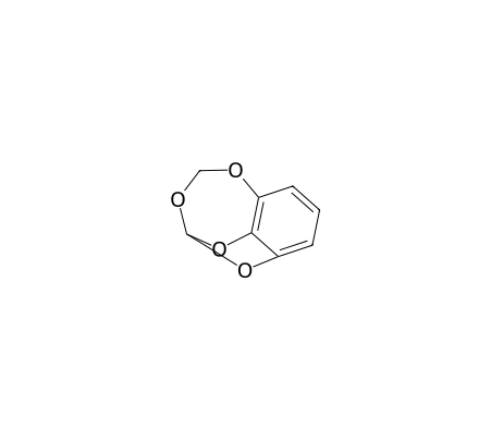 c1cc2c3c(c1)OC(OCO2)O3